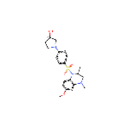 COc1ccc2c(c1)N(C)CC(C)N2S(=O)(=O)c1ccc(N2CC[C@@H](O)C2)cc1